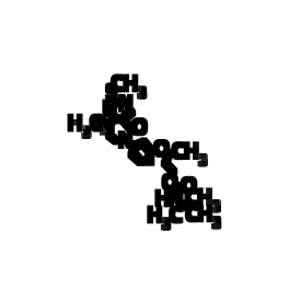 CSc1ncc2c(n1)N(C)CCN(c1cccc(OC(C)CCOC(=O)NC(C)(C)C)c1)C2=O